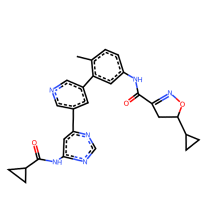 Cc1ccc(NC(=O)C2=NOC(C3CC3)C2)cc1-c1cncc(-c2cc(NC(=O)C3CC3)ncn2)c1